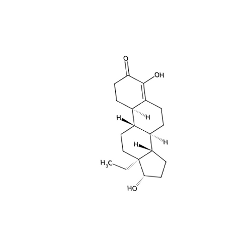 CC[C@]12CC[C@H]3[C@@H](CCC4=C(O)C(=O)CC[C@@H]43)[C@@H]1CC[C@@H]2O